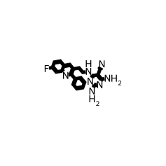 N#Cc1c(N)nc(N)nc1NCCc1cc2ccc(F)cc2nc1-c1ccccc1